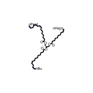 CCCC/C=C\C/C=C\CCCCCCCC(=O)O[C@@H](COC(=O)CCCCCC/C=C\C/C=C\C/C=C\CCCCC)COC(=O)CCCCCCC/C=C\CCCCCCC